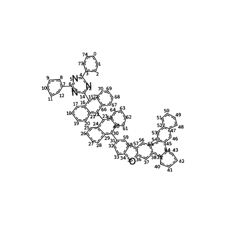 c1ccc(-c2nc(-c3ccccc3)nc(-c3c4ccccc4c(-c4c5ccccc5c(-c5ccc6oc7cc8c9ccccc9c9cc%10ccccc%10cc9c8cc7c6c5)c5ccccc45)c4ccccc34)n2)cc1